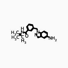 CC(C)(C)NC(=O)c1cccc(Cn2ncc3cc(N)ccc32)c1